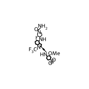 COc1cc(S(C)(=O)=O)ccc1NCC#Cc1cc2c(N[C@@H]3CCN(C(=O)CN)C[C@@H]3I)cccc2n1CC(F)(F)F